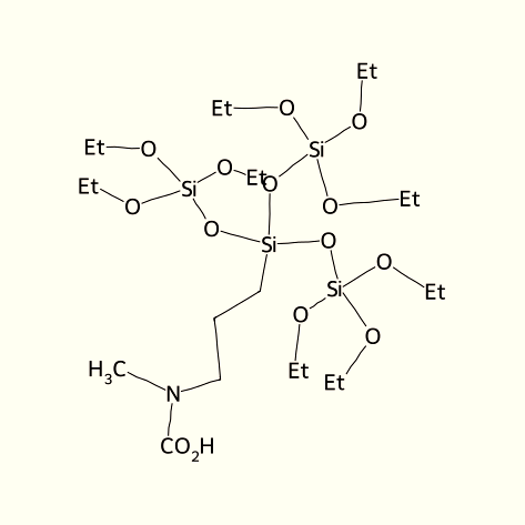 CCO[Si](OCC)(OCC)O[Si](CCCN(C)C(=O)O)(O[Si](OCC)(OCC)OCC)O[Si](OCC)(OCC)OCC